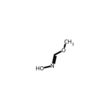 COC=NO